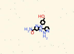 NC(=O)c1cnc2c(c1)nc(-c1cccnc1N)n2-c1ccc(CO)cc1